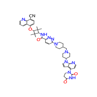 CC1(C)C(NC(=O)c2ccc(N3CCC(CN4CCC(n5ccc6c(N7CCC(=O)NC7=O)ccnc65)CC4)CC3)nn2)C(C)(C)C1Oc1ccc(C#N)c2ncccc12